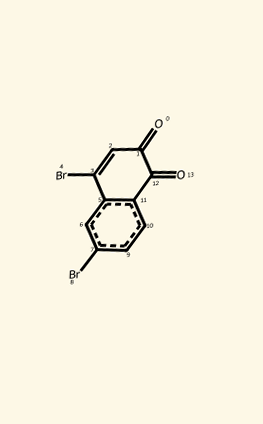 O=C1C=C(Br)c2cc(Br)ccc2C1=O